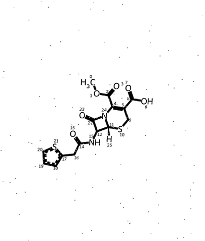 COC(=O)C1=C(C(=O)O)CS[C@@H]2C(NC(=O)Cc3cccs3)C(=O)N12